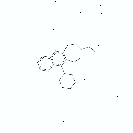 CCN1CCc2nc3ccccc3c(C3CCCCC3)c2CC1